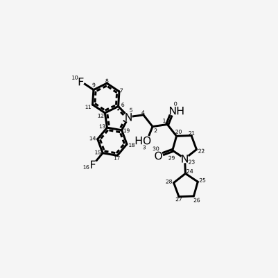 N=C(C(O)Cn1c2ccc(F)cc2c2cc(F)ccc21)C1CCN(C2CCCC2)C1=O